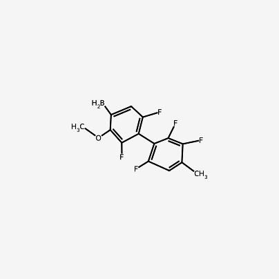 Bc1cc(F)c(-c2c(F)cc(C)c(F)c2F)c(F)c1OC